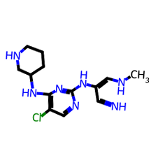 CN/C=C(\C=N)Nc1ncc(Cl)c(NC2CCCNC2)n1